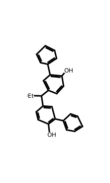 C[C]C(c1ccc(O)c(-c2ccccc2)c1)c1ccc(O)c(-c2ccccc2)c1